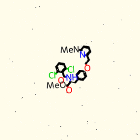 CNc1cccc(CCOc2ccc(C[C@H](NC(=O)c3c(Cl)cccc3Cl)C(=O)OC)cc2)n1